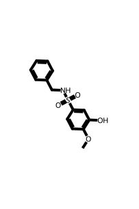 COc1ccc(S(=O)(=O)NCc2ccccc2)cc1O